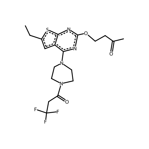 CCc1cc2c(N3CCN(C(=O)CC(F)(F)F)CC3)nc(OCCC(C)=O)nc2s1